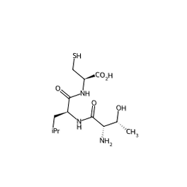 CC(C)C[C@H](NC(=O)[C@@H](N)[C@@H](C)O)C(=O)N[C@@H](CS)C(=O)O